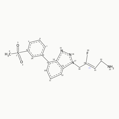 CS(=O)(=O)c1cccc(-c2cccc3c2nnn3C/C(F)=C/CN)c1